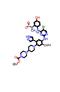 COc1cc(N2CCC(N3CCN(C(=O)OC(C)(C)C)CC3)CC2)c(-c2cn[nH]c2)cc1Nc1ncc(Br)c(Nc2ccc(O)cc2N(C)[SH](=O)=O)n1